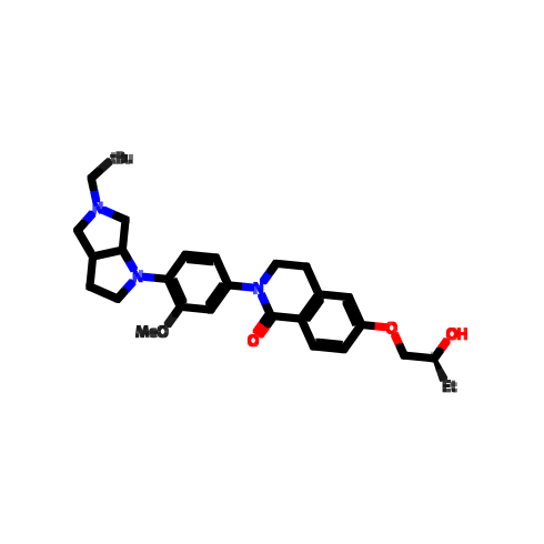 CC[C@H](O)COc1ccc2c(c1)CCN(c1ccc(N3CCC4CN(CC(C)(C)C)CC43)c(OC)c1)C2=O